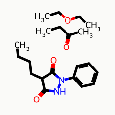 CCC(C)=O.CCCCC1C(=O)NN(c2ccccc2)C1=O.CCOCC